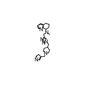 CN(Cc1cn(CC2CCN(CC3=CN=CC3)CC2)nn1)C1CCCc2cccnc21